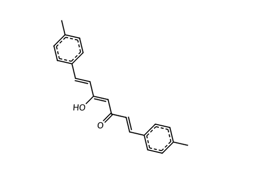 Cc1ccc(C=CC(=O)C=C(O)C=Cc2ccc(C)cc2)cc1